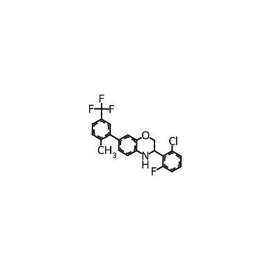 Cc1ccc(C(F)(F)F)cc1-c1ccc2c(c1)OCC(c1c(F)cccc1Cl)N2